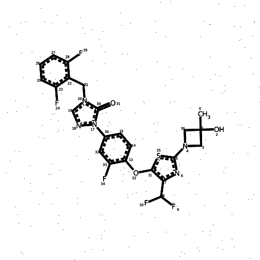 CC1(O)CN(c2nc(C(F)F)c(Oc3ccc(-n4ncn(Cc5c(F)cccc5F)c4=O)cc3F)s2)C1